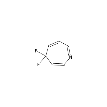 FC1(F)C=[C]N=CC=C1